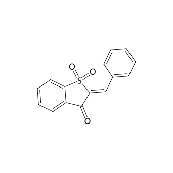 O=C1C(=Cc2ccccc2)S(=O)(=O)c2ccccc21